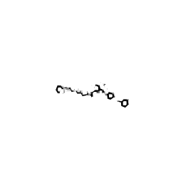 O=S(=O)(CCNCCCc1nc(-c2cc3c(Nc4ccc(OCc5cccc(F)c5)c(Cl)c4)ncnc3cn2)cs1)c1ccccn1